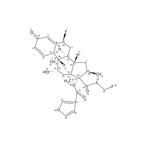 C[C@@H]1C[C@H]2[C@@H]3C[C@H](F)C4=CC(=O)C=C[C@]4(C)[C@@]3(F)[C@@H](O)C[C@]2(C)[C@]1(OC(=O)c1ccoc1)C(=O)SCF